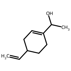 C=CC1CC=C(C(C)O)CC1